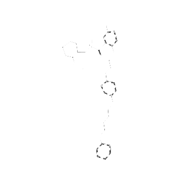 O=C(O)c1ccc(OCCCc2ccc(OCCCCOc3ccccc3)cc2)c(C(=O)NCC2CCCCC2C(=O)O)c1